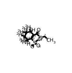 [2H]C1([2H])C(C(=O)OCC)=C(S(=O)(=O)Cl)C([2H])([2H])C([2H])([2H])C1([2H])[2H]